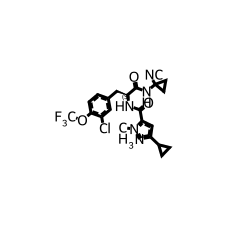 Cn1nc(C2CC2)cc1C(=O)N[C@@H](Cc1ccc(OC(F)(F)F)c(Cl)c1)C(=O)NC1(C#N)CC1